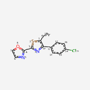 CC(C)c1sc(-c2ncco2)nc1-c1ccc(Cl)cc1